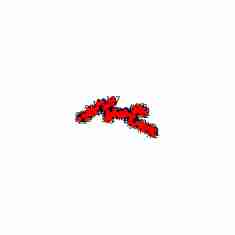 c1ccc(-c2nc(-c3cccc(-c4ccc5cc(-c6ccc7ccccc7c6)ccc5c4)c3)nc(-c3cc4ccccc4c4cc(-c5ccc6cc(-c7nc(-c8cccc(-c9ccc%10cc(-c%11ccc%12ccccc%12c%11)ccc%10c9)c8)nc(-c8ccc9ccc%10ccccc%10c9c8)n7)ccc6c5)ccc34)n2)cc1